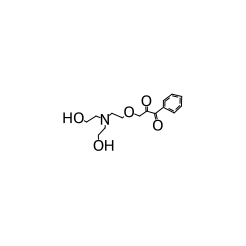 O=C(COCCN(CCO)CCO)C(=O)c1ccccc1